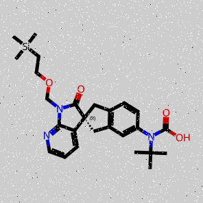 CC(C)(C)N(C(=O)O)c1ccc2c(c1)C[C@@]1(C2)C(=O)N(COCC[Si](C)(C)C)c2ncccc21